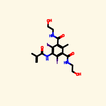 C=C(C)C(=O)Nc1c(I)c(C(=O)NCCO)c(C)c(C(=O)NCCO)c1I